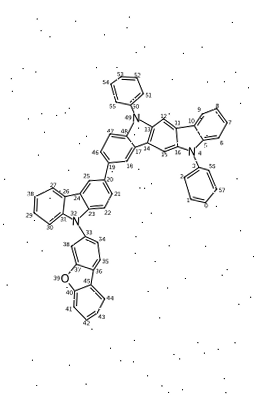 c1ccc(-n2c3ccccc3c3cc4c(cc32)c2cc(-c3ccc5c(c3)c3ccccc3n5-c3ccc5c(c3)oc3ccccc35)ccc2n4-c2ccccc2)cc1